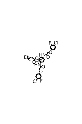 CCOCC(=O)O[C@H]1CC2(NC(=O)COc3ccc(Cl)c(F)c3)CCC1(NC(=O)COc1ccc(Cl)c(F)c1)CC2